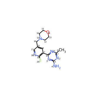 Cc1nc(N)nc(-c2cc(CN3CCOCC3)cnc2F)n1